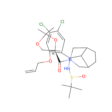 C=CCOc1cc(Cl)c(Cl)cc1C(N[S+]([O-])C(C)(C)C)C1C2CCC1CN(C(=O)[C@H]1COC(C)(C)O1)C2